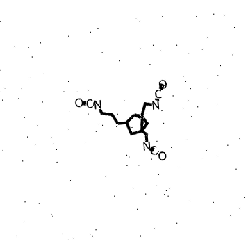 O=C=NCCCC1CC2(CN=C=O)CC(CN=C=O)C1C2